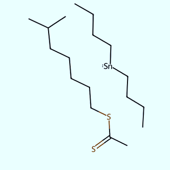 CC(=S)SCCCCCC(C)C.CCC[CH2][Sn][CH2]CCC